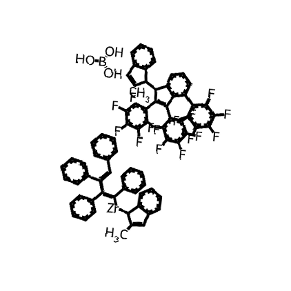 CC1=Cc2ccccc2C1C1C(c2c(F)c(F)c(F)c(F)c2F)=C(c2c(F)c(F)c(F)c(F)c2F)c2c(-c3c(F)c(F)c(F)c(F)c3F)cccc21.CC1=Cc2ccccc2[CH]1[Zr][C](=C(C(=Cc1ccccc1)c1ccccc1)c1ccccc1)c1ccccc1.OB(O)O